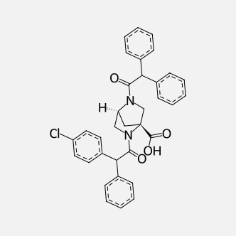 O=C(C(c1ccccc1)c1ccccc1)N1C[C@@]2(C(=O)O)C[C@H]1CN2C(=O)C(c1ccccc1)c1ccc(Cl)cc1